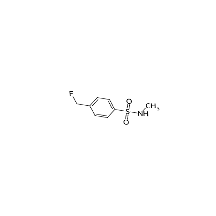 CNS(=O)(=O)c1ccc(CF)cc1